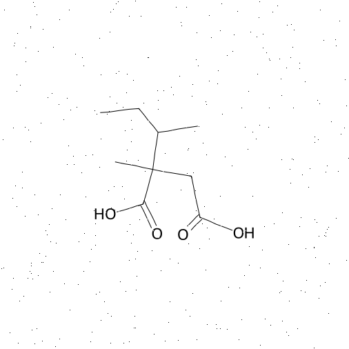 CCC(C)C(C)(CC(=O)O)C(=O)O